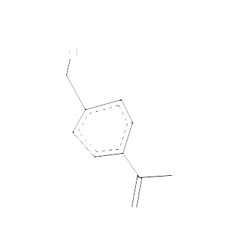 C=C(Cl)c1ccc(CCl)cc1